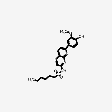 CCCCCCS(=O)(=O)Nc1cnc2ccc(-c3ccc(O)c(OC)c3)nc2n1